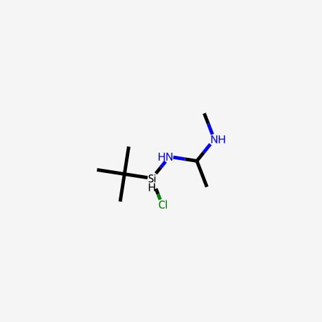 CNC(C)N[SiH](Cl)C(C)(C)C